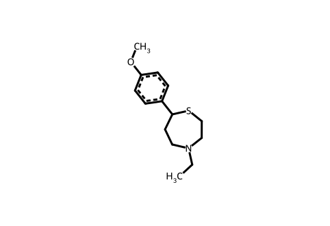 CCN1CCSC(c2ccc(OC)cc2)CC1